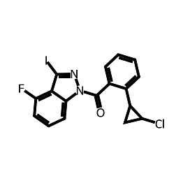 O=C(c1ccccc1C1CC1Cl)n1nc(I)c2c(F)cccc21